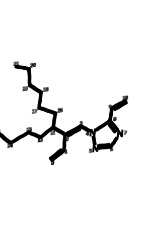 C=C/C(=C\n1ncnc1C=C)C(CCCC)CCCCCC